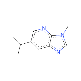 CC(C)c1cnc2c(c1)ncn2C